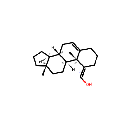 C[C@@]12CCC[C@H]1[C@@H]1CC=C3CCC/C(=C\O)[C@]3(C)[C@H]1CC2